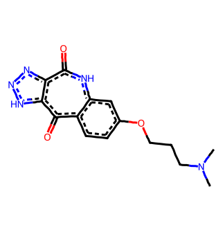 CN(C)CCCOc1ccc2c(=O)c3[nH]nnc3c(=O)[nH]c2c1